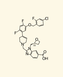 O=C(O)c1ccc2nc(CN3CC=C(c4cc(OCc5ccc(Cl)cc5F)c(F)cc4F)CC3)n(C[C@@H]3CCO3)c2c1